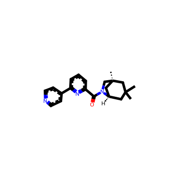 CC1(C)C[C@@H]2C[C@@](C)(CN2C(=O)c2cccc(-c3ccncc3)n2)C1